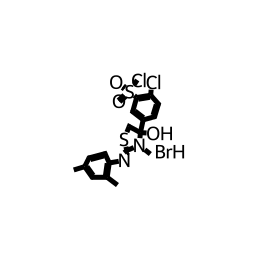 Br.Cc1ccc(N=C2SCC(O)(c3ccc(Cl)c(S(=O)(=O)Cl)c3)N2C)c(C)c1